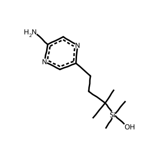 CC(C)(CCc1cnc(N)cn1)[Si](C)(C)O